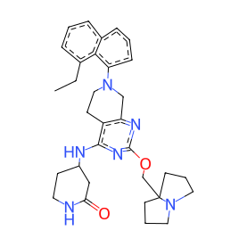 CCc1cccc2cccc(N3CCc4c(nc(OCC56CCCN5CCC6)nc4NC4CCNC(=O)C4)C3)c12